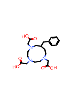 O=C(O)CN1CCC(Cc2ccccc2)CN(CC(=O)O)CCN(CC(=O)O)CC1